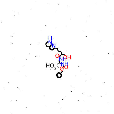 O=C(NC(CNC(=O)C(CO)CCCc1ccc2c(n1)NCCC2)C(=O)O)OCc1ccccc1